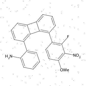 COc1ccc(-c2cccc3c2-c2c(-c4ccccc4N)cccc2-3)c(F)c1[N+](=O)[O-]